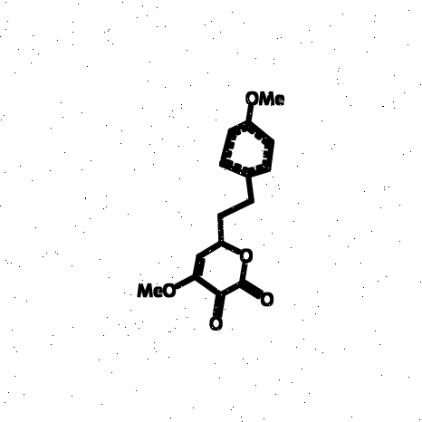 COC1=CC(CCc2ccc(OC)cc2)OC(=O)C1=O